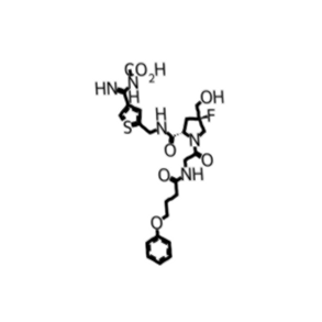 N=C(NC(=O)O)c1csc(CNC(=O)[C@@H]2C[C@](F)(CO)CN2C(=O)CNC(=O)CCCOc2ccccc2)c1